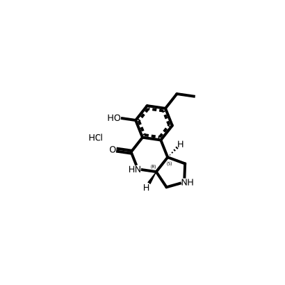 CCc1cc(O)c2c(c1)[C@H]1CNC[C@@H]1NC2=O.Cl